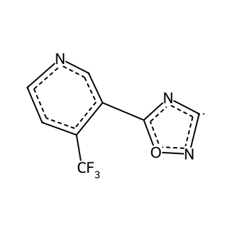 FC(F)(F)c1ccncc1-c1n[c]no1